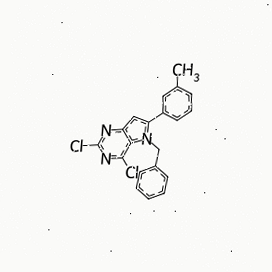 Cc1cccc(-c2cc3nc(Cl)nc(Cl)c3n2Cc2ccccc2)c1